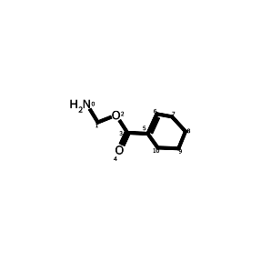 NCOC(=O)C1=CCCCC1